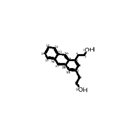 OCCc1cc(CCO)c2cc3ccccc3cc2c1